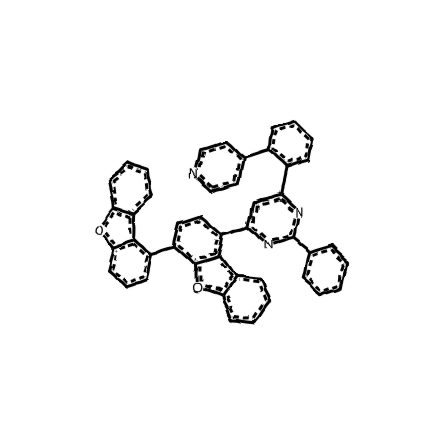 c1ccc(-c2nc(-c3ccccc3-c3ccncc3)cc(-c3ccc(-c4cccc5oc6ccccc6c45)c4oc5ccccc5c34)n2)cc1